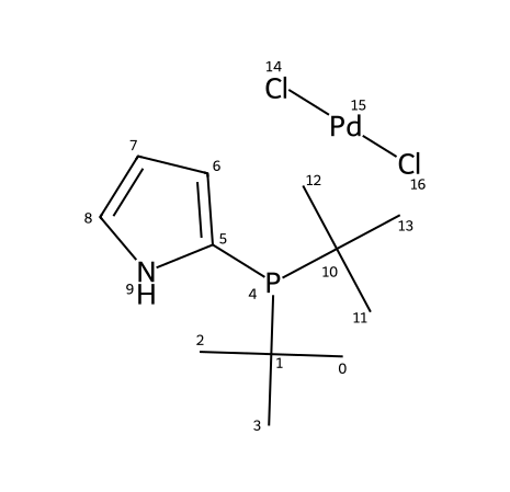 CC(C)(C)P(c1ccc[nH]1)C(C)(C)C.[Cl][Pd][Cl]